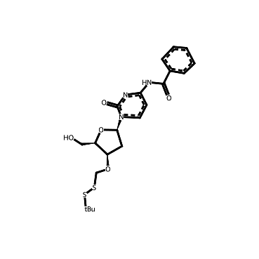 CC(C)(C)SSCO[C@@H]1C[C@H](n2ccc(NC(=O)c3ccccc3)nc2=O)O[C@@H]1CO